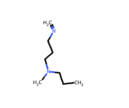 C=NCCCN(C)CCC